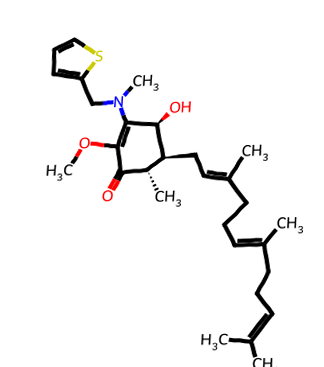 COC1=C(N(C)Cc2cccs2)[C@@H](O)[C@@H](C/C=C(\C)CC/C=C(\C)CCC=C(C)C)[C@H](C)C1=O